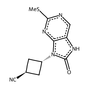 CSc1ncc2[nH]c(=O)n([C@H]3C[C@H](C#N)C3)c2n1